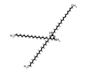 CCCCCCCCCCCCCCCCCCNc1nc(N)nc(N(CCCCCCCCCCCCCCCCCC)CCCCCCCCCCCCCCCCCC)n1